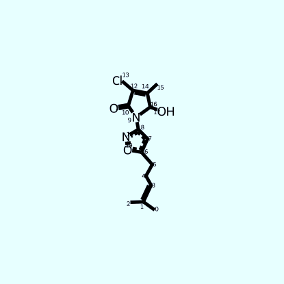 CC(C)=CCCc1cc(N2C(=O)C(Cl)=C(C)C2O)no1